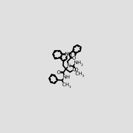 COCC(Cc1c[nH]c2ccccc12)(C(=O)NC(C)c1ccccc1)N(Cc1cc2ccccc2o1)C(N)=O